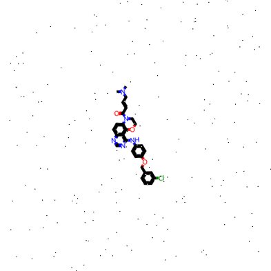 CN(C)C/C=C/C(=O)N1CCOc2c1ccc1ncnc(Nc3ccc(OCc4cccc(Cl)c4)cc3)c21